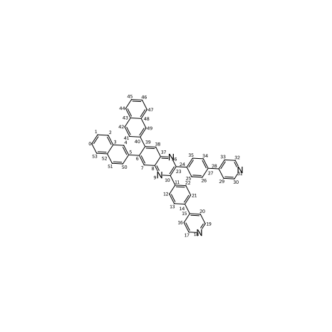 c1ccc2cc(-c3cc4nc(-c5ccc(-c6ccncc6)cc5)c(-c5ccc(-c6ccncc6)cc5)nc4cc3-c3ccc4ccccc4c3)ccc2c1